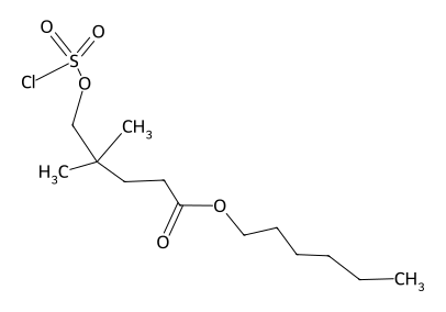 CCCCCCOC(=O)CCC(C)(C)COS(=O)(=O)Cl